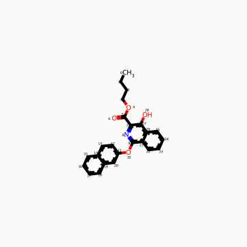 CCCCOC(=O)c1nc(Oc2ccc3ccccc3c2)c2ccccc2c1O